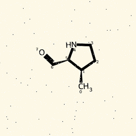 C[C@@H]1CCN[C@@H]1C=O